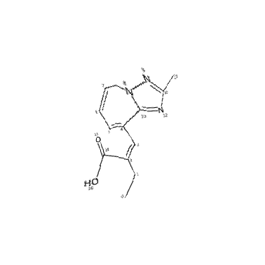 CCC(=Cc1cccn2nc(C)nc12)C(=O)O